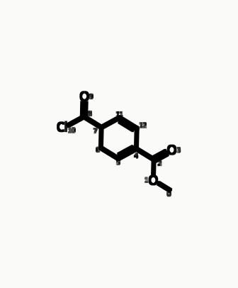 COC(=O)C1=CCC(C(=O)Cl)C=C1